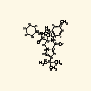 Cc1ccc(N2C(=O)c3cc(C(C)(C)C)nn3CC2(C)C(=O)NC2CCCCC2)c(C)c1